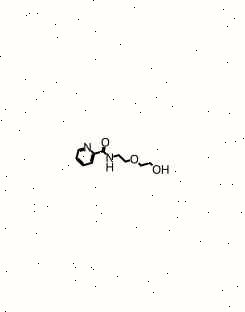 O=C(NCCOCCO)c1ccccn1